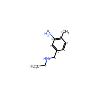 Cc1ccc(CNCC(=O)O)cc1N